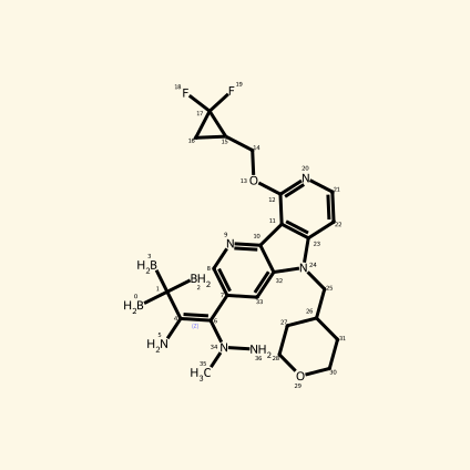 BC(B)(B)/C(N)=C(\c1cnc2c3c(OCC4CC4(F)F)nccc3n(CC3CCOCC3)c2c1)N(C)N